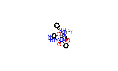 CCCN(C(=O)NCc1ccccc1)N1CC(=O)N2[C@@H](c3ccccc3)C(=O)N(Cc3cccc4nc[nH]c34)C[C@@H]21